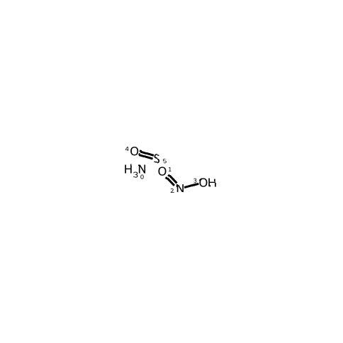 N.O=NO.O=S